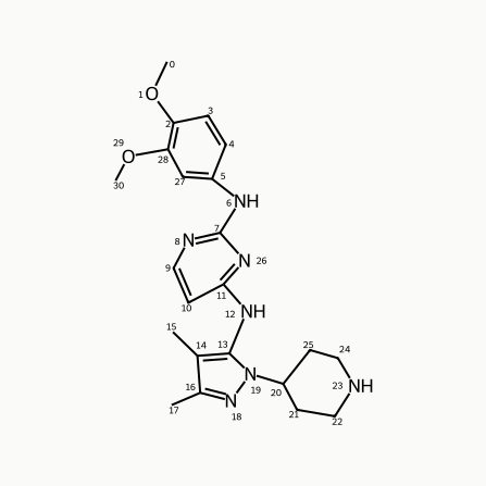 COc1ccc(Nc2nccc(Nc3c(C)c(C)nn3C3CCNCC3)n2)cc1OC